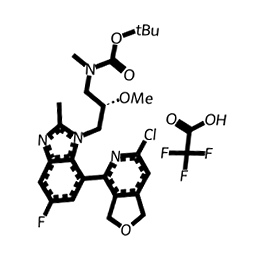 CO[C@@H](CN(C)C(=O)OC(C)(C)C)Cn1c(C)nc2cc(F)cc(-c3nc(Cl)cc4c3COC4)c21.O=C(O)C(F)(F)F